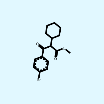 COC(=O)C(C(=O)c1ccc(Br)cc1)C1CCCCC1